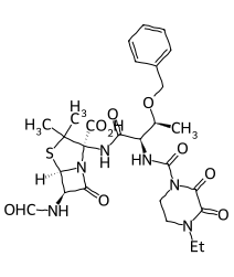 CCN1CCN(C(=O)N[C@@H](C(=O)N[C@@]2(C(=O)O)N3C(=O)[C@@H](NC=O)[C@H]3SC2(C)C)[C@H](C)OCc2ccccc2)C(=O)C1=O